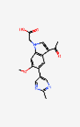 COc1cc2c(cc1-c1cnc(C)nc1)c(C(C)=O)cn2CC(=O)O